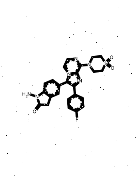 NN1C(=O)Cc2cc(-c3c(-c4ccc(F)cc4)nc4c(N5CCS(=O)(=O)CC5)nccn34)ccc21